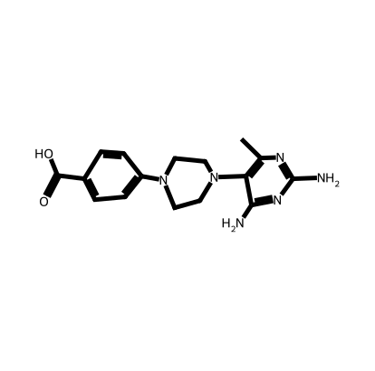 Cc1nc(N)nc(N)c1N1CCN(c2ccc(C(=O)O)cc2)CC1